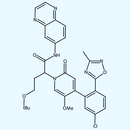 COc1cn(C(CCOC(C)(C)C)C(=O)Nc2ccc3nccnc3c2)c(=O)cc1-c1cc(Cl)ccc1-c1nc(C)no1